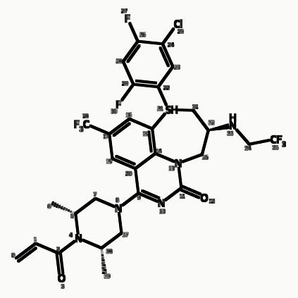 C=CC(=O)N1[C@H](C)CN(c2nc(=O)n3c4c(cc(C(F)(F)F)cc24)[SH](c2cc(Cl)c(F)cc2F)C[C@@H](NCC(F)(F)F)C3)C[C@@H]1C